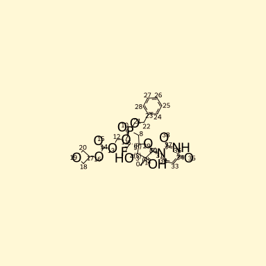 C[C@@]1(O)[C@H](O)[C@@](CF)(CP(=O)(OCOC(=O)OC2COC2)OCc2ccccc2)O[C@H]1n1ccc(=O)[nH]c1=O